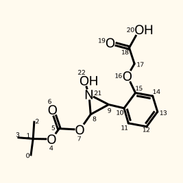 CC(C)(C)OC(=O)OC1C(c2ccccc2OCC(=O)O)N1O